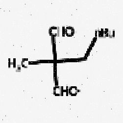 CCCCCC(C)([C]=O)[C]=O